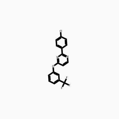 FC(F)(F)c1cccc(Oc2ccnc(-c3ccc(Cl)cc3)n2)c1